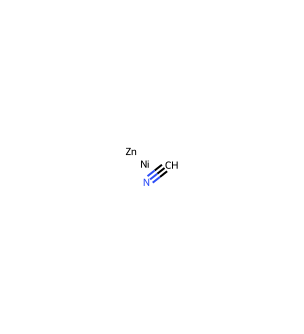 C#N.[Ni].[Zn]